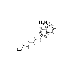 CCCCCCCCc1ccc2c(N)cccc2c1